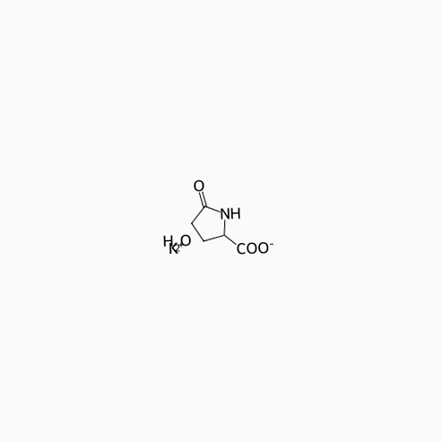 O.O=C1CCC(C(=O)[O-])N1.[K+]